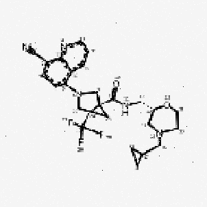 N#Cc1ccc(N2C[C@]3(C(=O)NC[C@H]4CN(CC5CC5)CCO4)C[C@]3(C(F)(F)F)C2)c2cccnc12